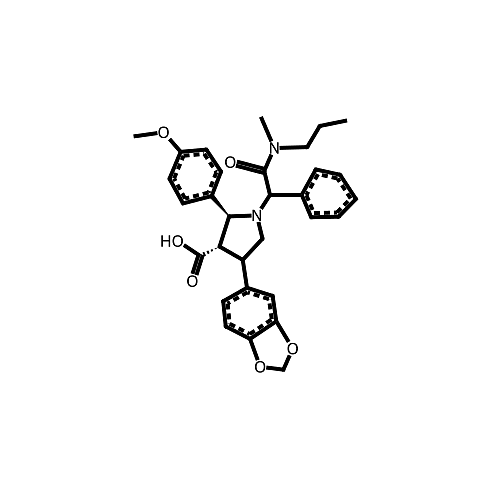 CCCN(C)C(=O)C(c1ccccc1)N1CC(c2ccc3c(c2)OCO3)[C@H](C(=O)O)[C@H]1c1ccc(OC)cc1